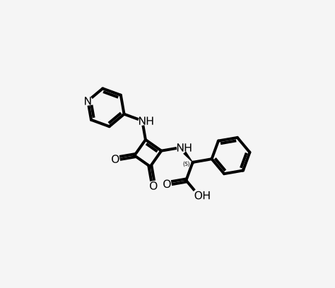 O=C(O)[C@@H](Nc1c(Nc2ccncc2)c(=O)c1=O)c1ccccc1